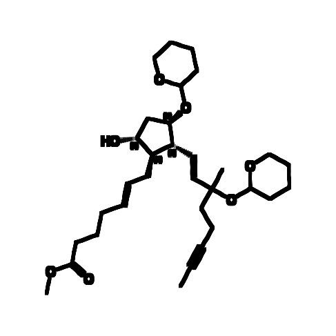 CC#CCCC(C)(C=C[C@@H]1[C@@H](CC=CCCCC(=O)OC)[C@H](O)C[C@H]1OC1CCCCO1)OC1CCCCO1